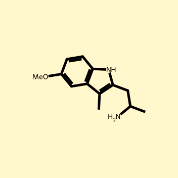 COc1ccc2[nH]c(CC(C)N)c(C)c2c1